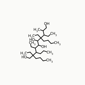 CCCCC(CC)(CO)C(CCC)C(CC)C(O)C(O)C(CC)(CCCC)C(CC)C(C)CO